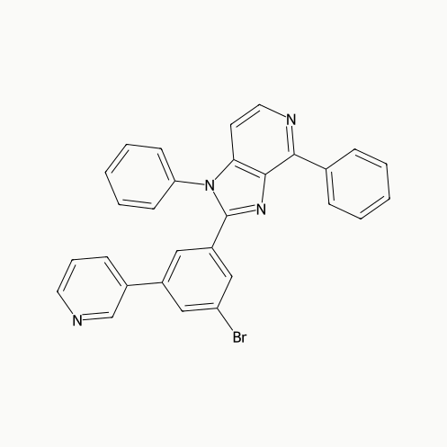 Brc1cc(-c2cccnc2)cc(-c2nc3c(-c4ccccc4)nccc3n2-c2ccccc2)c1